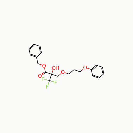 O=C(OCc1ccccc1)C(O)(COCCCOc1ccccc1)C(F)(F)F